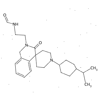 CC(C)C1CCC(N2CCC3(CC2)C(=O)N(CCNC=O)Cc2ccccc23)CC1